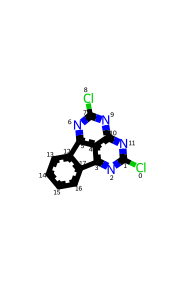 Clc1nc2c3c(nc(Cl)nc3n1)-c1ccccc1-2